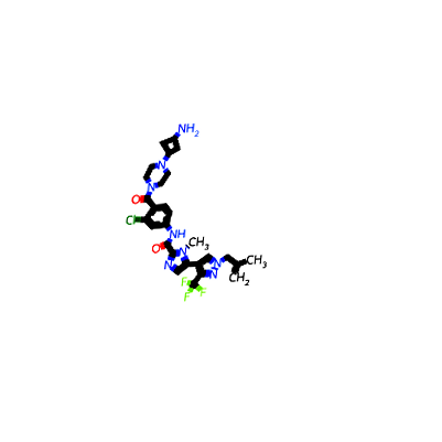 C=C(C)Cn1cc(-c2cnc(C(=O)Nc3ccc(C(=O)N4CCN(C5CC(N)C5)CC4)c(Cl)c3)n2C)c(C(F)(F)F)n1